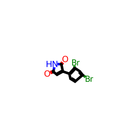 O=C1C=C(c2ccc(Br)cc2Br)C(=O)N1